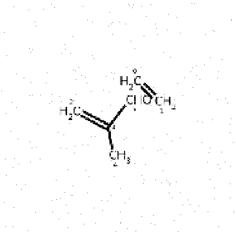 C=C.C=C(C)C=O